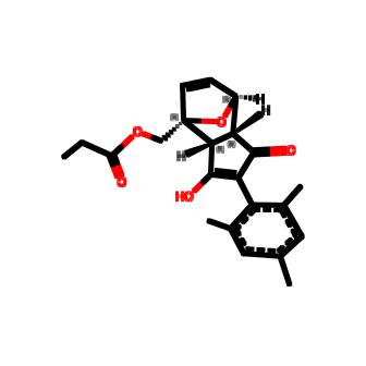 CCC(=O)OC[C@]12C=C[C@H](O1)[C@@H]1C(=O)C(c3c(C)cc(C)cc3C)=C(O)[C@@H]12